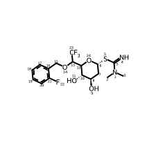 CN(C)C(=N)S[C@@H]1C[C@@H](O)[C@H](O)C(C(OCc2ccccc2F)C(F)(F)F)O1